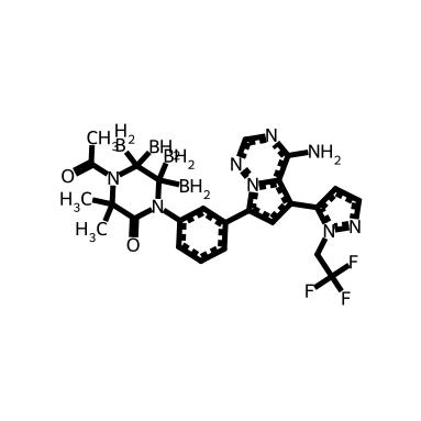 BC1(B)N(c2cccc(-c3cc(-c4ccnn4CC(F)(F)F)c4c(N)ncnn34)c2)C(=O)C(C)(C)N(C(C)=O)C1(B)B